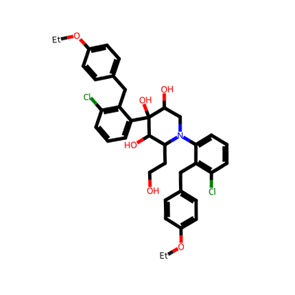 CCOc1ccc(Cc2c(Cl)cccc2N2CC(O)C(O)(c3cccc(Cl)c3Cc3ccc(OCC)cc3)C(O)C2CCO)cc1